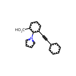 O=C(O)c1cccc(C#Cc2ccccc2)c1-n1cccc1